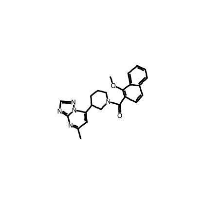 COc1c(C(=O)N2CCCC(c3cc(C)nc4ncnn34)C2)ccc2ccccc12